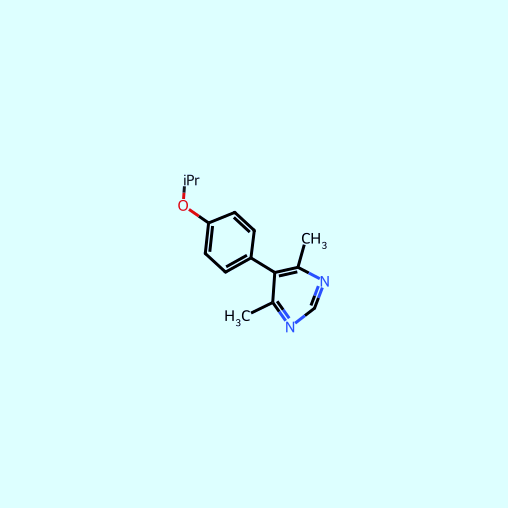 Cc1ncnc(C)c1-c1ccc(OC(C)C)cc1